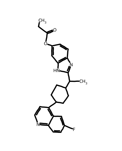 CCC(=O)Oc1ccc2nc(C(C)C3CCC(c4ccnc5ccc(F)cc45)CC3)[nH]c2c1